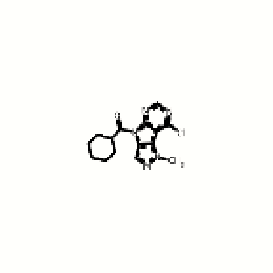 Cn1ncc2c1c1c(Cl)ncnc1n2C(=O)C1CCCCC1